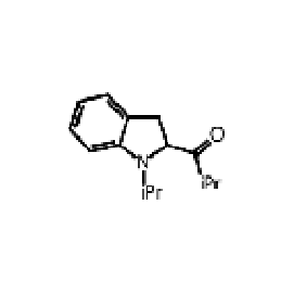 CC(C)C(=O)C1Cc2ccccc2N1C(C)C